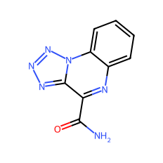 NC(=O)c1nc2ccccc2n2nnnc12